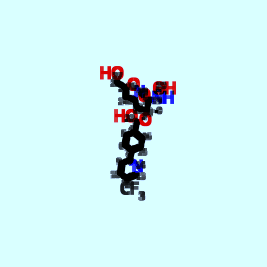 C[C@@](OCc1ccc(-c2ccc(C(F)(F)F)cn2)cc1)(C(=O)NO)[C@@H](O)c1cc(CO)on1